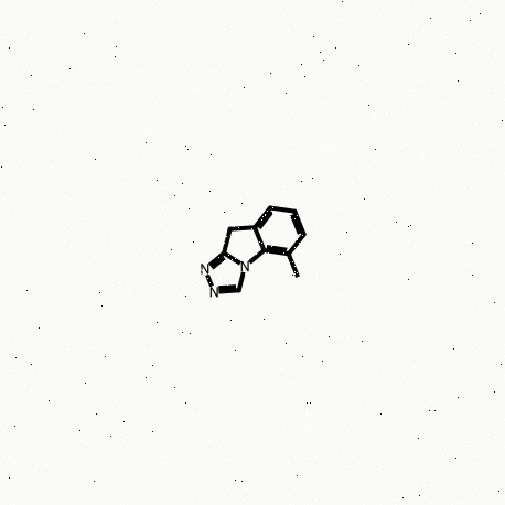 Cc1cccc2c1-n1cnnc1C2